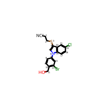 N#CCCSc1cn(-c2ccc(CO)c(Br)c2)c2ccc(Cl)cc12